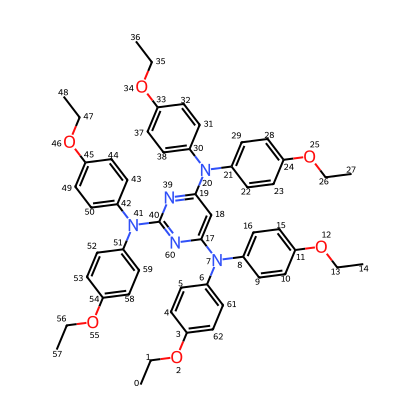 CCOc1ccc(N(c2ccc(OCC)cc2)c2cc(N(c3ccc(OCC)cc3)c3ccc(OCC)cc3)nc(N(c3ccc(OCC)cc3)c3ccc(OCC)cc3)n2)cc1